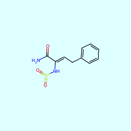 NC(=O)C(=CCc1ccccc1)N[SH](=O)=O